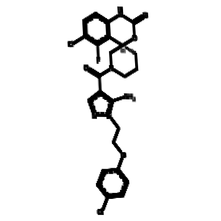 Nc1c(C(=O)N2CCC[C@@]3(C2)OC(=O)Nc2ccc(Cl)c(F)c23)cnn1CCOc1ccc(Cl)cc1